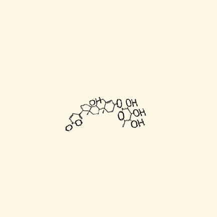 CC1O[C@@H](O[C@@H]2C=C3CCC4C(CC[C@]5(C)[C@@H](c6ccc(=O)oc6)CC[C@]45O)[C@@]3(C)CC2)[C@@H](O)C(O)[C@H]1O